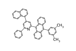 Cc1cc(C)cc(-c2c3ccccc3c(-c3cc(-c4cccc5ccccc45)cc(-c4ccccc4)n3)c3ccccc23)c1